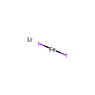 [I][Fe][I].[Li]